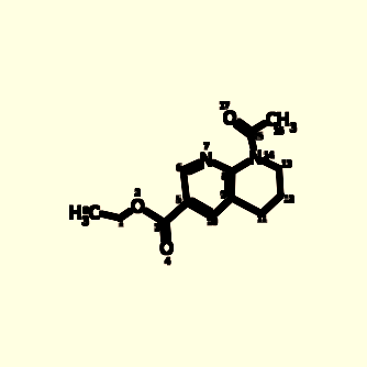 CCOC(=O)c1cnc2c(c1)CCCN2C(C)=O